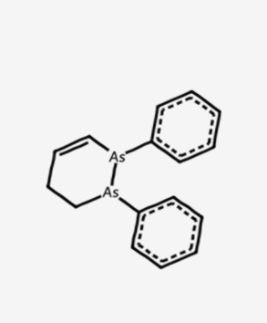 C1=C[As](c2ccccc2)[As](c2ccccc2)CC1